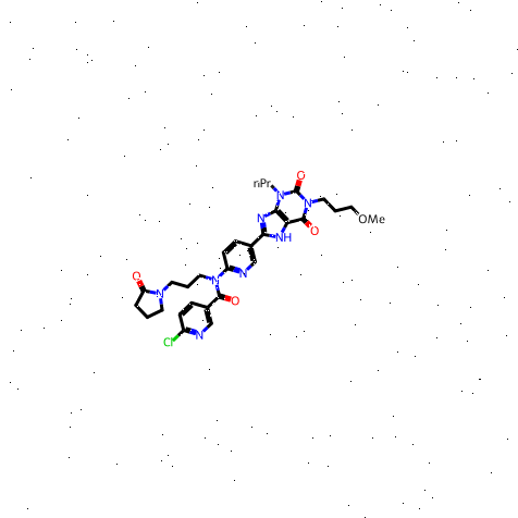 CCCn1c(=O)n(CCCOC)c(=O)c2[nH]c(-c3ccc(N(CCCN4CCCC4=O)C(=O)c4ccc(Cl)nc4)nc3)nc21